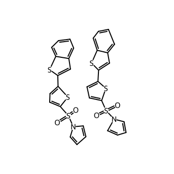 O=S(=O)(c1ccc(-c2cc3ccccc3s2)s1)n1cccc1.O=S(=O)(c1ccc(-c2cc3ccccc3s2)s1)n1cccc1